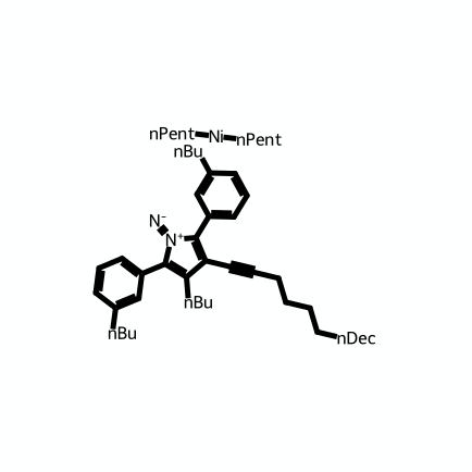 CCCCCCCCCCCCCCC#CC1=C(c2cccc(CCCC)c2)[N+](=[N-])C(c2cccc(CCCC)c2)=C1CCCC.CCCC[CH2][Ni][CH2]CCCC